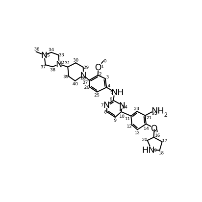 COc1cc(Nc2nccc(-c3ccc(OC4CCNC4)c(N)c3)n2)ccc1N1CCC(N2CCN(C)CC2)CC1